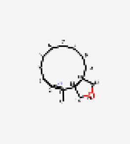 C/C1=C/CCCCCCCCC2COCC12